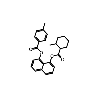 Cc1ccc(C(=O)Oc2cccc3cccc(OC(=O)C4CCCCC4C)c23)cc1